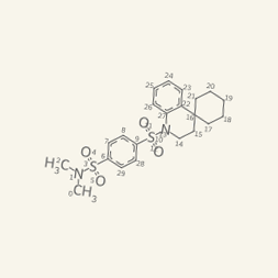 CN(C)S(=O)(=O)c1ccc(S(=O)(=O)N2CCC3(CCCCC3)c3ccccc32)cc1